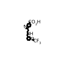 Cn1cc(CCNCc2cccc(OCC(F)(F)F)c2)c2ccc(C(=O)O)cc21